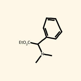 CCOC(=O)C(c1ccccc1)N(C)C